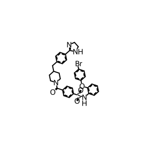 O=C(c1ccc(S(=O)(=O)Nc2ccccc2Oc2ccc(Br)cc2)cc1)N1CCC(Cc2ccc(C3=NCCN3)cc2)CC1